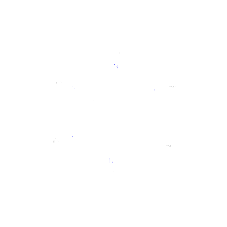 CCCCN1C=CC(=c2c(=C3C=CN(CCCC)C=C3)c(=C3C=CN(CCCC)C=C3)c(=C3CCN(CCCC)CC3)c(=C3C=CN(CCCC)C=C3)c2=C2C=CN(CCCC)C=C2)C=C1